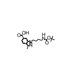 Cc1nn(CCCCNC(=O)OC(C)(C)C)c2cc(C(=O)O)ccc12